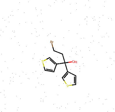 OC(CCBr)(c1ccsc1)c1ccsc1